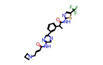 CC(C(=O)Nc1ncc(C(F)(F)F)s1)c1cccc(-c2cnc(NC(=O)/C=C/CN3CCC3)cn2)c1